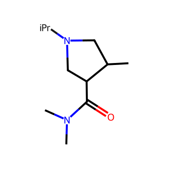 CC1CN(C(C)C)CC1C(=O)N(C)C